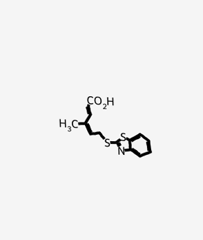 CC(C=CC(=O)O)=CCSc1nc2ccccc2s1